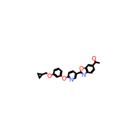 CC(=O)c1ccc2nc(-c3ccc(Oc4cccc(OCC5CC5)c4)nc3)oc2c1